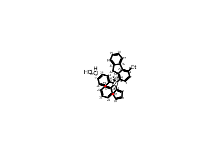 CCc1cc[c]([Zr](=[SiH2])([C]2=CC=CC2)([c]2ccccc2)[c]2ccccc2)c2c1-c1ccccc1C2.Cl.Cl